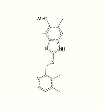 COc1c(C)cc2[nH]c(SCc3nccc(C)c3C)nc2c1C